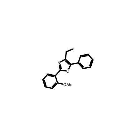 COc1ccccc1-c1nc(CI)c(-c2ccccc2)o1